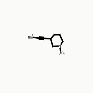 CC(C)(C)C#CC1CCCN(C(C)(C)C)C1